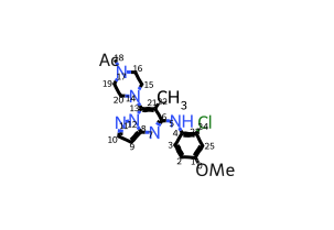 COc1ccc(Nc2nc3ccnn3c(N3CCN(C(C)=O)CC3)c2C)c(Cl)c1